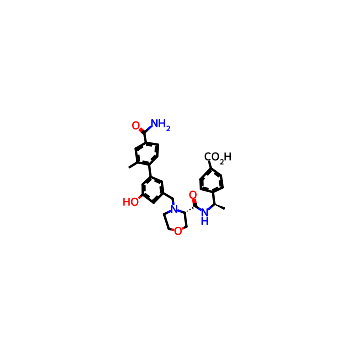 Cc1cc(C(N)=O)ccc1-c1cc(O)cc(CN2CCOC[C@H]2C(=O)N[C@H](C)c2ccc(C(=O)O)cc2)c1